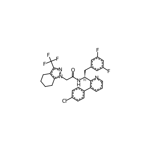 O=C(Cn1nc(C(F)(F)F)c2c1CCCC2)N[C@@H](Cc1cc(F)cc(F)c1)c1ncccc1-c1ccc(Cl)cc1